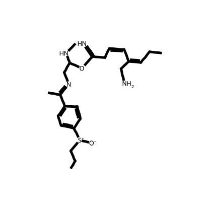 CC/C=C(\C=C/CC(=N)OC(C/N=C(\C)c1ccc([S+]([O-])CCC)cc1)NC)CN